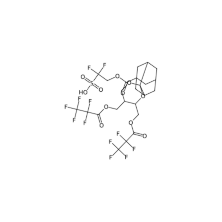 O=C(OCC(F)(F)S(=O)(=O)O)C12CC3CC(C1)C1(OCC(COC(=O)C(F)(F)C(F)(F)F)C(COC(=O)C(F)(F)C(F)(F)F)O1)C(C3)C2